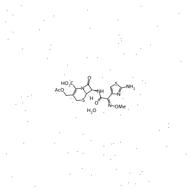 CO/N=C(/C(=O)N[C@@H]1C(=O)N2C(C(=O)O)=C(COC(C)=O)CS[C@H]12)c1csc(N)n1.O